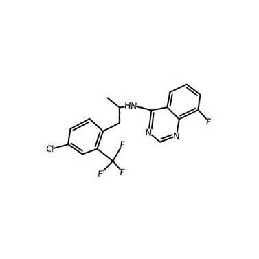 CC(Cc1ccc(Cl)cc1C(F)(F)F)Nc1ncnc2c(F)cccc12